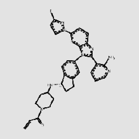 C=CC(=O)N1CCC(N[C@H]2CCc3cc(-n4c(-c5cccnc5N)nc5ccc(-n6ccc(F)n6)nc54)ccc32)CC1